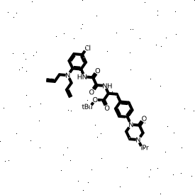 C=CCN(CC=C)c1ccc(Cl)cc1NC(=O)C(=O)NC(Cc1ccc(N2CCN(C(C)C)CC2=O)cc1)C(=O)OC(C)(C)C